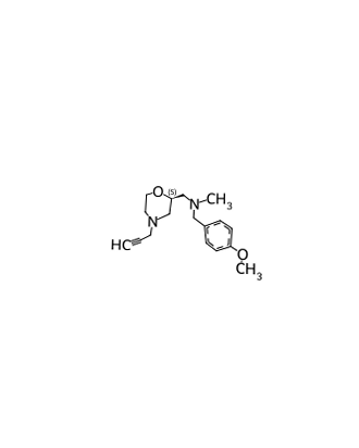 C#CCN1CCO[C@@H](CN(C)Cc2ccc(OC)cc2)C1